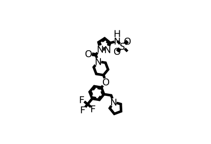 CS(=O)(=O)Nc1ccn(C(=O)N2CCC(Oc3ccc(C(F)(F)F)cc3CN3CCCC3)CC2)n1